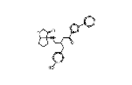 O=C(CC(CNC12CCCC1OCC2=O)Cc1ccc(O)cc1)n1ccc(-c2ccccc2)c1